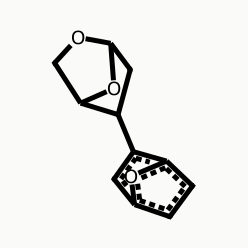 c1cc2oc1cc2C1CC2OCC1O2